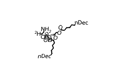 [2H]C(CN)OP(=O)(O)OC[C@@H](COC(=O)CCCCCCCCCCCCCCC)OC(=O)CCCCCCCCCCCCCCC